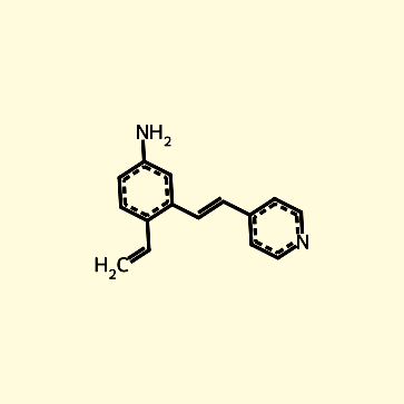 C=Cc1ccc(N)cc1/C=C/c1ccncc1